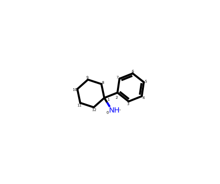 [NH]C1(c2ccccc2)CCCCC1